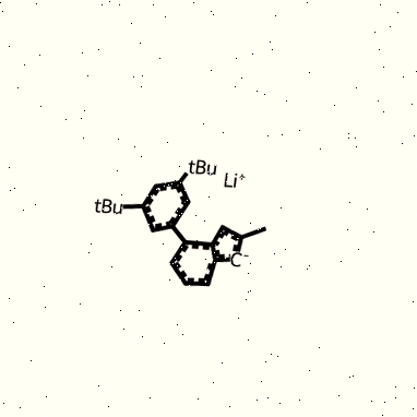 Cc1cc2c(-c3cc(C(C)(C)C)cc(C(C)(C)C)c3)cccc2[cH-]1.[Li+]